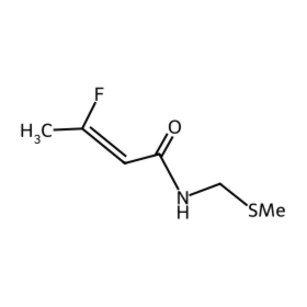 CSCNC(=O)/C=C(/C)F